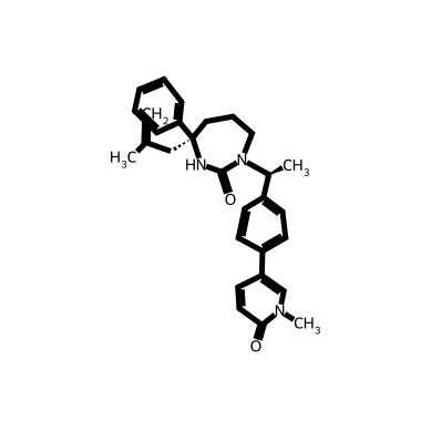 C=C(C)C[C@]1(c2ccccc2)CCCN([C@@H](C)c2ccc(-c3ccc(=O)n(C)c3)cc2)C(=O)N1